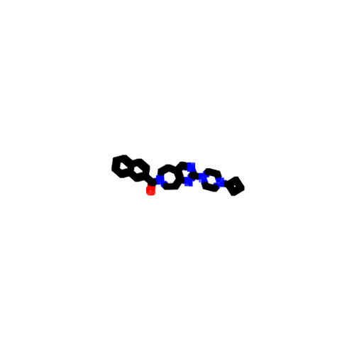 O=C(c1ccc2ccccc2c1)N1CCc2cnc(N3CCN(C4CCC4)CC3)nc2CC1